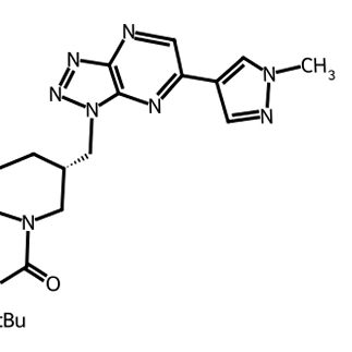 Cn1cc(-c2cnc3nnn(C[C@H]4CCCN(C(=O)OC(C)(C)C)C4)c3n2)cn1